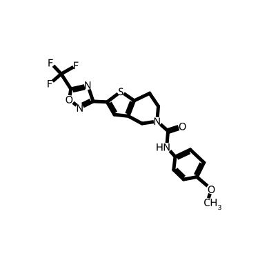 COc1ccc(NC(=O)N2CCc3sc(-c4noc(C(F)(F)F)n4)cc3C2)cc1